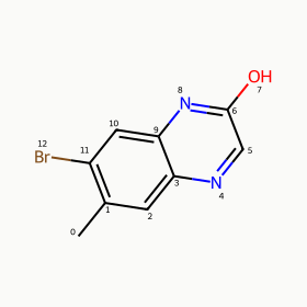 Cc1cc2ncc(O)nc2cc1Br